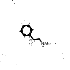 [CH2-][NH2+]C[C@H](C)c1ccccc1